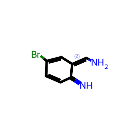 N=C1C=CC(Br)=C/C1=C/N